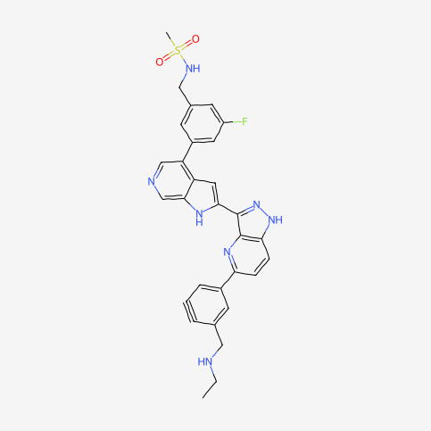 CCNCc1c#ccc(-c2ccc3[nH]nc(-c4cc5c(-c6cc(F)cc(CNS(C)(=O)=O)c6)cncc5[nH]4)c3n2)c1